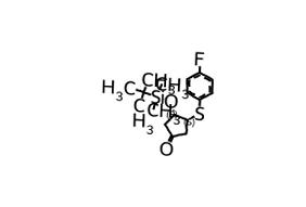 CC(C)(C)[Si](C)(C)O[C@H]1CC(=O)C[C@@H]1Sc1ccc(F)cc1